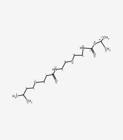 CC(C)CCOCCC(=O)NCCOCCNC(=O)OC(C)C